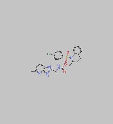 Cc1ccc2nc(CNC(=O)OCC3CCc4ccccc4N3S(=O)(=O)c3ccc(Cl)cc3)[nH]c2n1